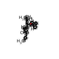 COc1ccc(COC(=O)C2(CCl)CS[C@@H]3C(NC(=O)C(=NOCC(=O)OC(C)(C)C)c4csc(NC(c5ccccc5)(c5ccccc5)c5ccccc5)n4)C(=O)N3C2)cc1